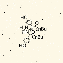 CCCCOC(=O)C(N=C(N)NC(C(=O)OCCCC)c1ccc(O)cc1)c1ccc(O)cc1